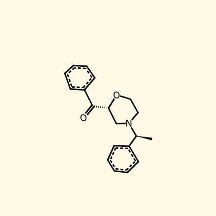 C[C@@H](c1ccccc1)N1CCO[C@@H](C(=O)c2ccccc2)C1